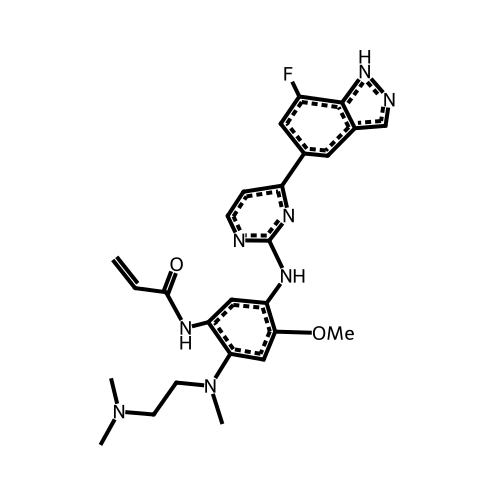 C=CC(=O)Nc1cc(Nc2nccc(-c3cc(F)c4[nH]ncc4c3)n2)c(OC)cc1N(C)CCN(C)C